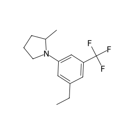 CCc1cc(N2CCCC2C)cc(C(F)(F)F)c1